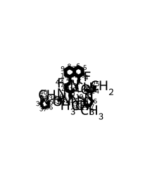 C#Cc1c(F)ccc2cccc(-c3ncc4c(N(C)C[C@H]5N(C(=O)C=C)CCC5(C)C)nc(OC[C@@H]5CCCN5C)nc4c3F)c12